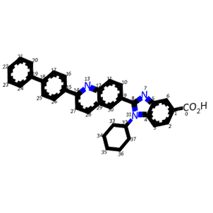 O=C(O)c1ccc2c(c1)nc(-c1ccc3nc(-c4ccc(-c5ccccc5)cc4)ccc3c1)n2C1CCCCC1